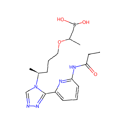 CCC(=O)Nc1cccc(-c2nncn2[C@@H](C)CCCOC(C)B(O)O)n1